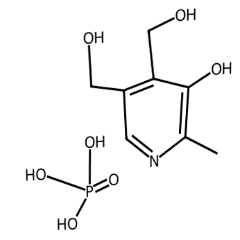 Cc1ncc(CO)c(CO)c1O.O=P(O)(O)O